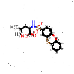 CC(C)CC(NS(=O)(=O)c1ccc2c(c1)Sc1ccccc1O2)C(=O)O